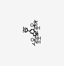 CC(C)NC(=O)Nc1cc2cc(-c3cnn(C)c3)cc(NC(=O)OC(C)(C)C)c2nn1